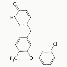 O=c1ccc(Cc2ccc(C(F)(F)F)c(Oc3cccc(Cl)c3)c2)n[nH]1